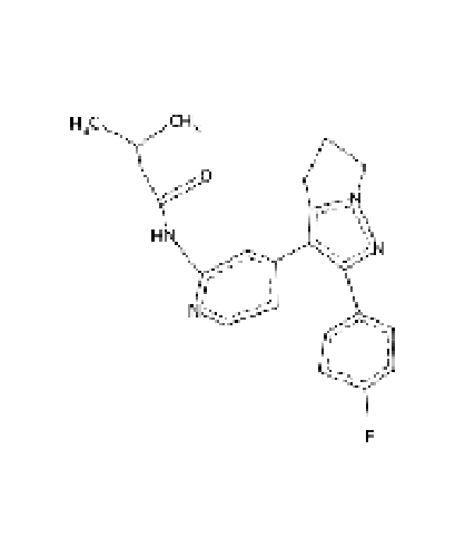 CC(C)CC(=O)Nc1cc(-c2c(-c3ccc(F)cc3)nn3c2CCC3)ccn1